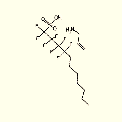 C=CCN.CCCCCCCC(F)(F)C(F)(F)C(F)(F)C(F)(F)S(=O)(=O)O